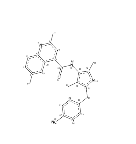 Cc1ccc2nc(C)cc(C(=O)Nc3c(C)nn(Cc4ccc(C#N)nc4)c3C)c2c1